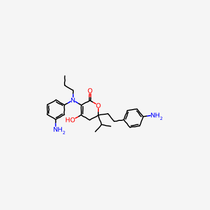 CCCN(C1=C(O)CC(CCc2ccc(N)cc2)(C(C)C)OC1=O)c1cccc(N)c1